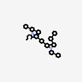 C=C/C=C\c1c(C)c2cc(-c3ccc(-c4ccc5c(c4)c4c(-c6cccc(-c7ccccc7)c6)cccc4n5-c4cccc(-c5ccccc5)c4)cc3)ccc2n1-c1cc(-c2ccccc2)ccc1-c1ccccc1